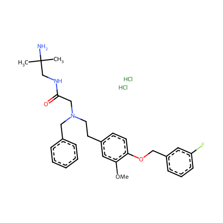 COc1cc(CCN(CC(=O)NCC(C)(C)N)Cc2ccccc2)ccc1OCc1cccc(F)c1.Cl.Cl